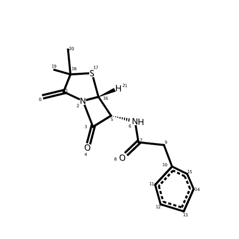 C=C1N2C(=O)[C@@H](NC(=O)Cc3ccccc3)[C@H]2SC1(C)C